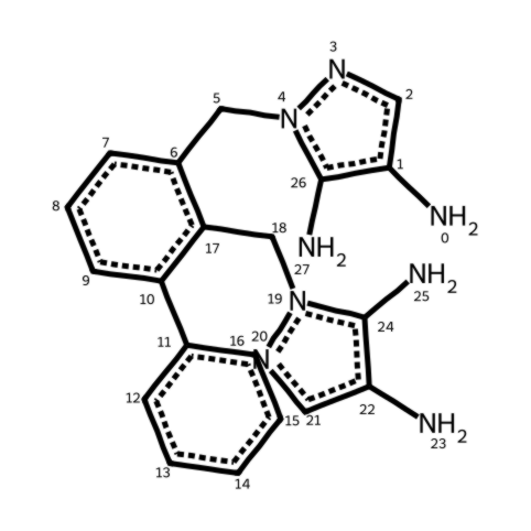 Nc1cnn(Cc2cccc(-c3ccccc3)c2Cn2ncc(N)c2N)c1N